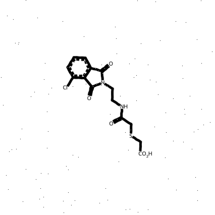 O=C(O)CSCC(=O)NCCN1C(=O)c2cccc(Cl)c2C1=O